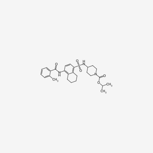 Cc1ccccc1C(=O)Nc1ccc(S(=O)(=O)NC2CCN(C(=O)OC(C)C)CC2)c2c1CCCC2